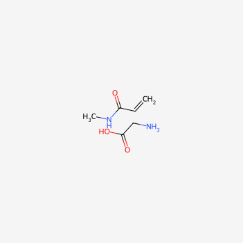 C=CC(=O)NC.NCC(=O)O